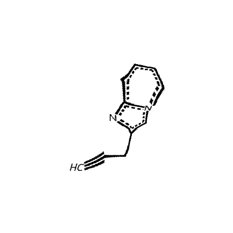 C#CCc1cn2ccccc2n1